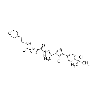 C/C(=N\NC(=O)c1ccc(C(=O)NCCN2CCOCC2)s1)c1csc(-c2ccc(C(C)(C)C)cc2)c1O